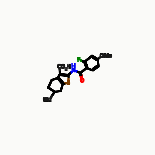 COc1ccc(C(=O)Nc2sc3c(c2C(=O)O)CCC(C(C)(C)C)C3)c(F)c1